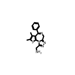 Cc1sc2c(c1C)C(c1ccccc1)=NCc1nnc(CN)n1-2